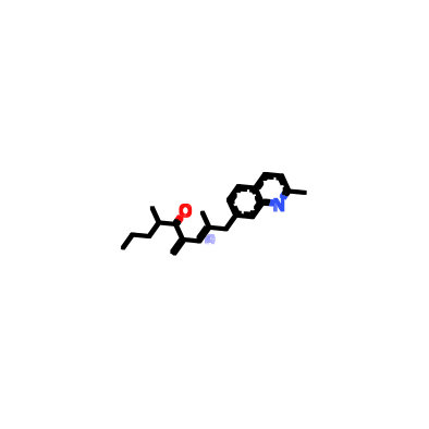 C=C(/C=C(\C)Cc1ccc2ccc(C)nc2c1)C(=O)C(C)CCC